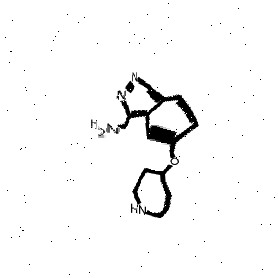 Nc1nncc2ccc(OC3CCNCC3)cc12